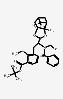 COc1c(CC(B2OC3CC4CC(C4(C)C)C3(C)O2)N(CBr)C(=O)c2ccccc2)cccc1C(=O)OC(C)(C)C